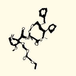 CCOCC(=O)OCOc1c(OC)ccnc1C(=O)N[C@H]1COC[C@H](Cc2ccccc2)[C@@H](c2ccccc2)[C@H](C)OC1=O